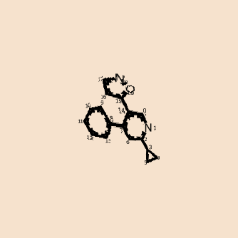 [c]1nc(C2CC2)cc(-c2ccccc2)c1-c1ccno1